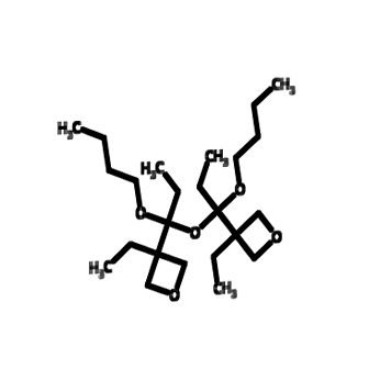 CCCCOC(CC)(OC(CC)(OCCCC)C1(CC)COC1)C1(CC)COC1